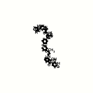 C[C@@H](CCNc1cccc2c1C(O)N(C1CCC(=O)NC1=O)C2=O)OC1CCN(C[C@H]2CC[C@H](n3cc(NC(=O)c4cnn5ccc(N6C[C@H]7C[C@@H]6CO7)nc45)c(C(F)F)n3)CC2)CC1